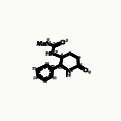 CNC(=O)NC1CCC(=O)NC1c1ccccc1